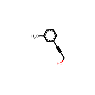 [CH2]c1cccc(C#CCO)c1